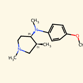 COc1ccc(N(C)[C@@H]2CCN(C)C[C@@H]2C)cc1